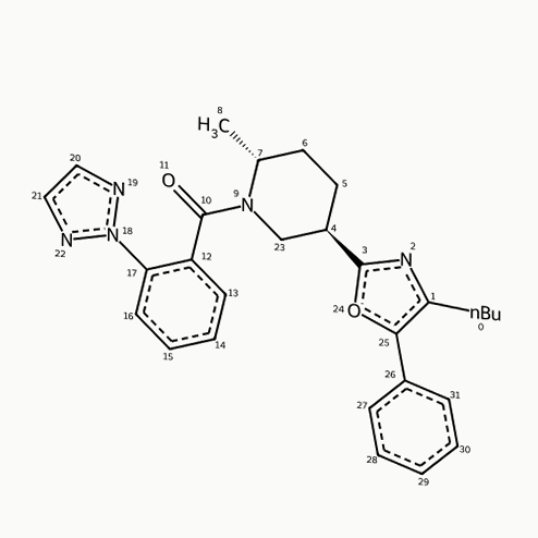 CCCCc1nc([C@@H]2CC[C@@H](C)N(C(=O)c3ccccc3-n3nccn3)C2)oc1-c1ccccc1